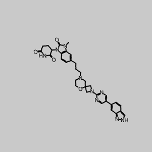 Cn1c(=O)n(C2CCC(=O)NC2=O)c2ccc(CCCN3CCOC4(C3)CN(c3ncc(-c5ccc6c[nH]nc6c5)cn3)C4)cc21